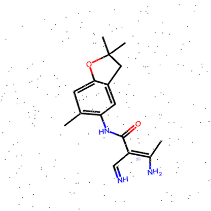 C/C(N)=C(/C=N)C(=O)Nc1cc2c(cc1C)OC(C)(C)C2